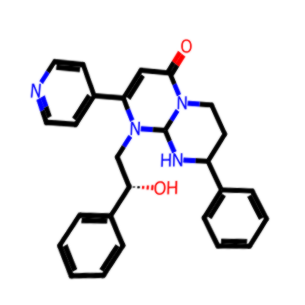 O=C1C=C(c2ccncc2)N(C[C@H](O)c2ccccc2)C2NC(c3ccccc3)CCN12